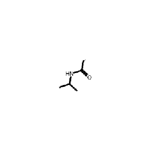 [CH2]C(=O)NC(C)C